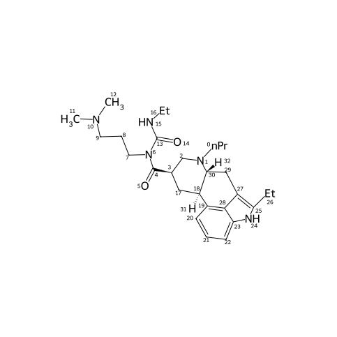 CCCN1C[C@H](C(=O)N(CCCN(C)C)C(=O)NCC)C[C@@H]2c3cccc4[nH]c(CC)c(c34)C[C@H]21